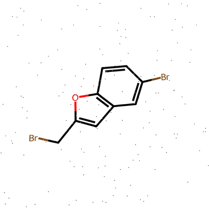 BrCc1cc2cc(Br)ccc2o1